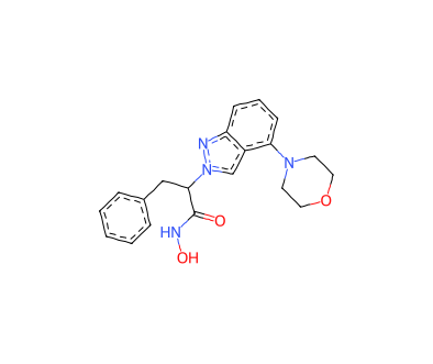 O=C(NO)C(Cc1ccccc1)n1cc2c(N3CCOCC3)cccc2n1